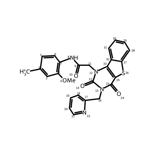 COc1cc(C)ccc1NC(=O)Cn1c(=O)n(Cc2ccccn2)c(=O)c2sc3ccccc3c21